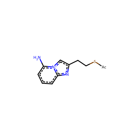 CC(=O)SCCc1cn2c(N)cccc2n1